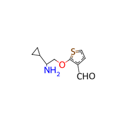 NC(COc1sccc1C=O)C1CC1